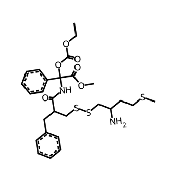 CCOC(=O)OC(NC(=O)C(CSSCC(N)CCSC)Cc1ccccc1)(C(=O)OC)c1ccccc1